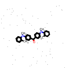 CC1=C(N(C)c2ccc(C(=O)c3ccc(N(C)c4ccccc4C)cc3)cc2)C=CCC1